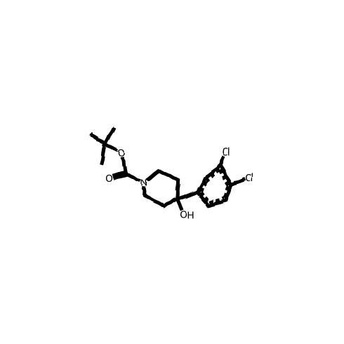 CC(C)(C)OC(=O)N1CCC(O)(c2ccc(Cl)c(Cl)c2)CC1